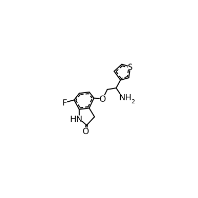 NC(COc1ccc(F)c2c1CC(=O)N2)c1ccsc1